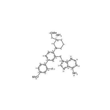 COC[C@@]1(N)CCCN(c2cnc(-c3ccc(OC)cc3F)cc2Cn2cnc3c(N)ncnc32)C1